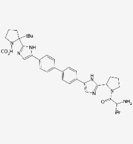 CC(C)C(N)C(=O)N1CCCC1c1ncc(-c2ccc(-c3ccc(-c4cnc(C5(C(C)(C)C)CCCN5C(=O)O)[nH]4)cc3)cc2)[nH]1